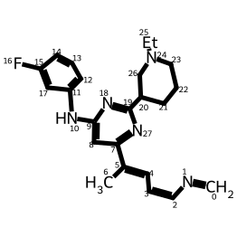 C=N/C=C\C=C(/C)c1cc(Nc2cccc(F)c2)nc(C2CCCN(CC)C2)n1